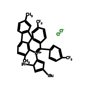 Cc1ccc2c(c1)Cc1c-2ccc(C)[c]1[Zr+2]([C]1=CC(C(C)(C)C)=CC1C(C)C)=[C](c1ccc(C(F)(F)F)cc1)c1ccc(C(F)(F)F)cc1.[Cl-].[Cl-]